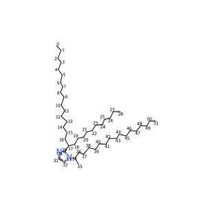 CCCCCCCCCCCCCCCCCC(CCCCCCCCCCC)c1nccn1C(C)CCCCCCCCCCCCCCCC